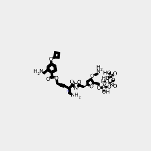 N/C=C(/C#CCOC(=O)c1ccc(OC2CCC2)cc1CN)C(=O)NC(=O)C[C@H]1C[C@@H](OCN)C(COP(=O)(O)OP(=O)(O)OP(=O)(O)O)O1